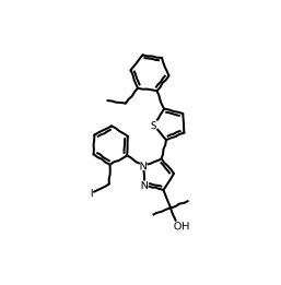 CCc1ccccc1-c1ccc(-c2cc(C(C)(C)O)nn2-c2ccccc2CI)s1